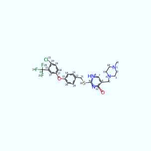 CN1CCN(Cc2c[nH]c(SCc3ccc(Oc4ccc(Cl)c(C(F)(F)F)c4)cc3)nc2=O)CC1